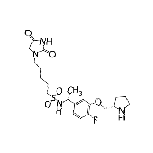 C[C@@H](NS(=O)(=O)CCCCCN1CC(=O)NC1=O)c1ccc(F)c(OC[C@@H]2CCCN2)c1